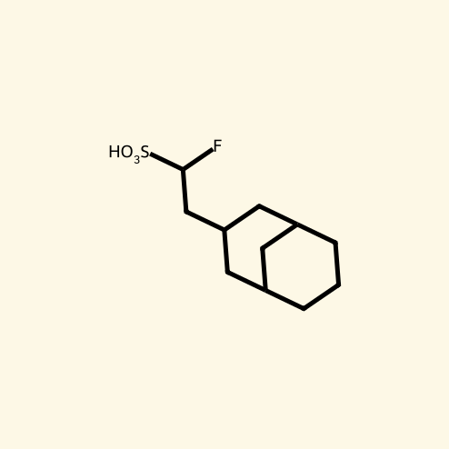 O=S(=O)(O)C(F)CC1CC2CCCC(C2)C1